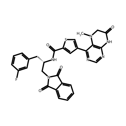 CN1CC(=O)Nc2ncnc(-c3csc(C(=O)N[C@@H](Cc4cccc(F)c4)CN4C(=O)c5ccccc5C4=O)c3)c21